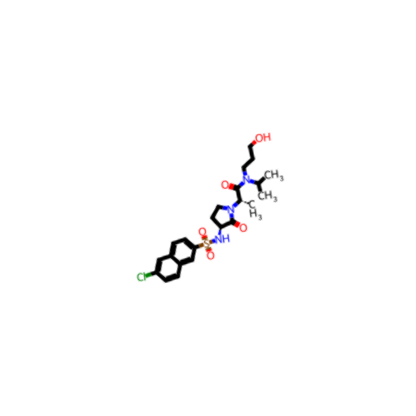 CC(C)N(CCCO)C(=O)[C@H](C)N1CC[C@H](NS(=O)(=O)c2ccc3cc(Cl)ccc3c2)C1=O